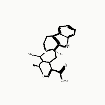 COC(=O)C1=CO[C@@H](C)C2C1C[C@@H]1c3[nH]c4ccccc4c3CCN1C2C#N